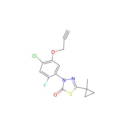 C#CCOc1cc(-n2nc(C3(C)CC3)sc2=O)c(F)cc1Cl